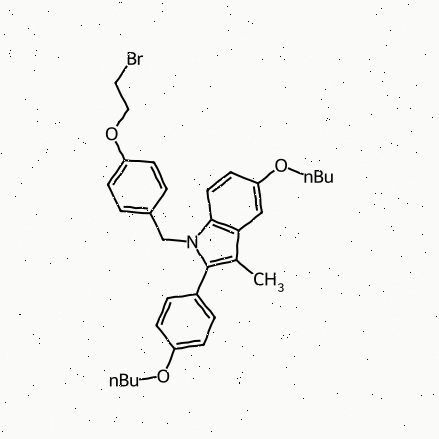 CCCCOc1ccc(-c2c(C)c3cc(OCCCC)ccc3n2Cc2ccc(OCCBr)cc2)cc1